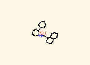 OC1(c2ccccc2)C=CC=CC1N=Cc1cccc2ccccc12